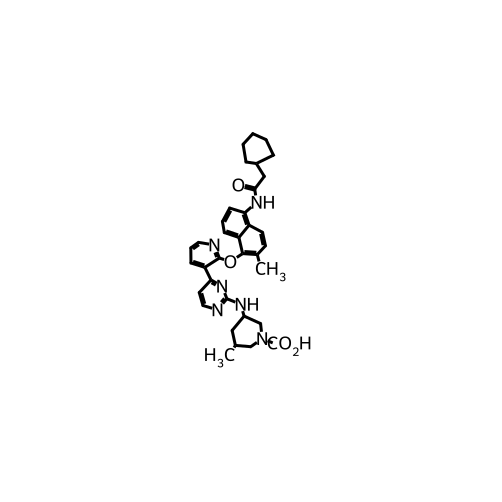 Cc1ccc2c(NC(=O)CC3CCCCC3)cccc2c1Oc1ncccc1-c1ccnc(NC2CC(C)CN(C(=O)O)C2)n1